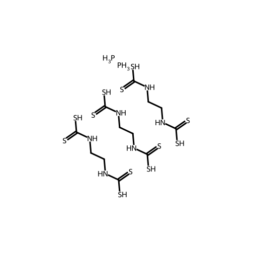 P.P.S=C(S)NCCNC(=S)S.S=C(S)NCCNC(=S)S.S=C(S)NCCNC(=S)S